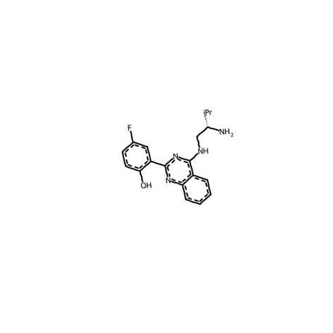 CC(C)[C@H](N)CNc1nc(-c2cc(F)ccc2O)nc2ccccc12